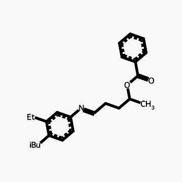 CCc1cc(N=CCCC(C)OC(=O)c2ccccc2)ccc1C(C)CC